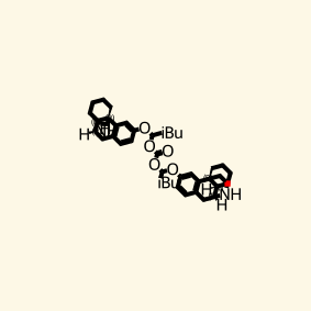 CCC(C)C(OC(=O)OC(Oc1ccc2c(c1)[C@@]13CCCC[C@H]1[C@@H](C2)NCC3)C(C)CC)Oc1ccc2c(c1)[C@@]13CCCC[C@H]1[C@@H](C2)NCC3